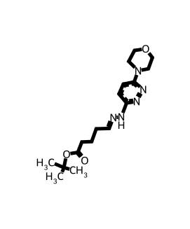 CC(C)(C)OC(=O)CCCC=NNc1ccc(N2CCOCC2)nn1